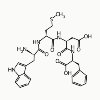 CSCC[C@H](NC(=O)[C@H](N)Cc1c[nH]c2ccccc12)C(=O)N[C@@H](CC(=O)O)C(=O)N[C@@H](Cc1ccccc1)C(=O)O